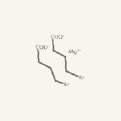 CC(=O)CCCC(=O)[O-].CC(=O)CCCC(=O)[O-].[Mg+2]